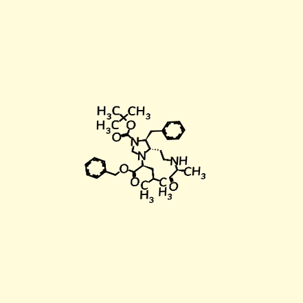 CC(C)C[C@@H](C(=O)OCc1ccccc1)N1CN(C(=O)OC(C)(C)C)[C@@H](Cc2ccccc2)[C@@H]1CCN[C@@H](C)C=O